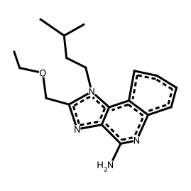 CCOCc1nc2c(N)nc3ccccc3c2n1CCC(C)C